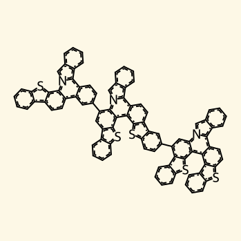 c1ccc2c(c1)cn1c3cc(-c4ccc5sc6c(ccc7c6c6c8sc9ccccc9c8cc(-c8ccc9c(c8)c8ccc%10c%11ccccc%11sc%10c8n8cc%10ccccc%10c98)c6n6cc8ccccc8c76)c5c4)c4c5ccccc5sc4c3c3c(ccc4sc5ccccc5c43)c21